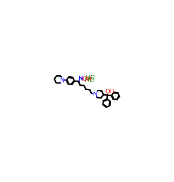 Cl.Cl.ON=C(CCCCCN1CCC(C(O)(c2ccccc2)c2ccccc2)CC1)c1ccc(N2CCCCC2)cc1